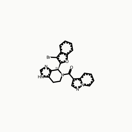 O=C(c1cnn2ccccc12)N1CCc2[nH]cnc2[C@H]1c1oc2ccccc2c1Br